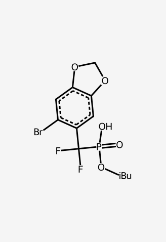 CCC(C)OP(=O)(O)C(F)(F)c1cc2c(cc1Br)OCO2